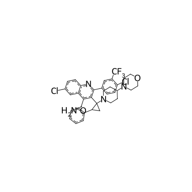 NC(=O)c1c(C2(N3CCC(N4CCOCC4)CC3)CC2c2ccccc2)c(-c2ccc(Cl)c(C(F)(F)F)c2)nc2ccc(Cl)cc12